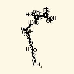 CCOCCOCC(=O)NCCOCCOCC(=O)NC(CCCCNC(=O)c1cc(B(O)O)cc(C(F)(F)c2cc(B(O)O)cc(C(F)(F)F)c2)c1)C(=O)O